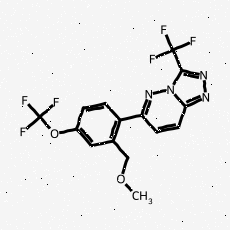 COCc1cc(OC(F)(F)F)ccc1-c1ccc2nnc(C(F)(F)F)n2n1